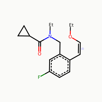 CCO/C=C\c1ccc(F)cc1CN(CC)C(=O)C1CC1